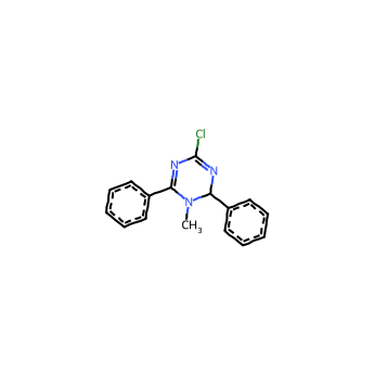 CN1C(c2ccccc2)=NC(Cl)=NC1c1ccccc1